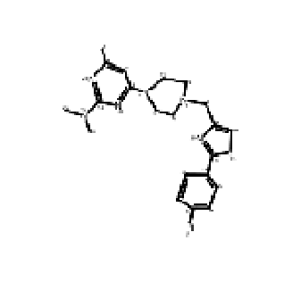 Cc1cc(N2CCN(Cc3csc(-c4ccc(Cl)cc4)n3)CC2)nc(N(C)C)n1